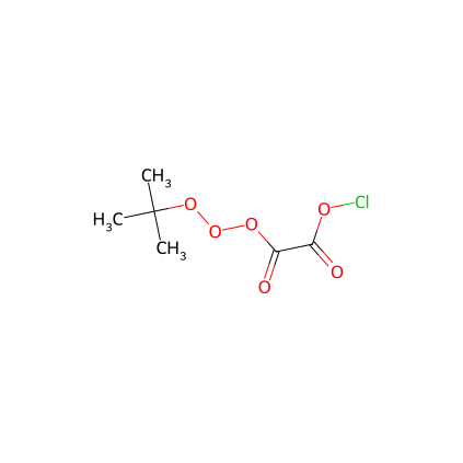 CC(C)(C)OOOC(=O)C(=O)OCl